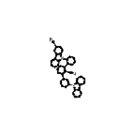 N#Cc1ccc2c(c1)c1ccccc1n2-c1ccccc1-c1cccc(-c2cccc(-n3c4ccccc4c4ccccc43)c2)c1C#N